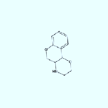 c1ccc2c(c1)OCC1NCCOC21